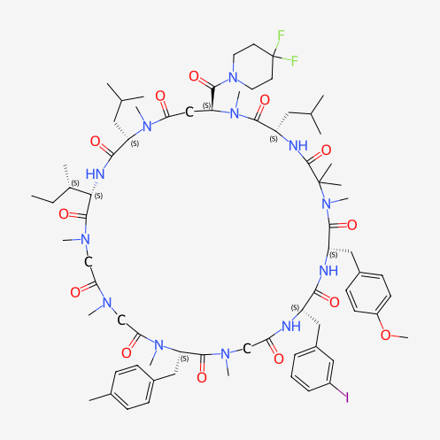 CC[C@H](C)[C@@H]1NC(=O)[C@H](CC(C)C)N(C)C(=O)C[C@@H](C(=O)N2CCC(F)(F)CC2)N(C)C(=O)[C@H](CC(C)C)NC(=O)C(C)(C)N(C)C(=O)[C@H](Cc2ccc(OC)cc2)NC(=O)[C@H](Cc2cccc(I)c2)NC(=O)CN(C)C(=O)[C@H](Cc2ccc(C)cc2)N(C)C(=O)CN(C)C(=O)CN(C)C1=O